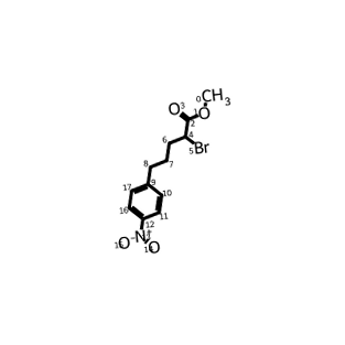 COC(=O)C(Br)CCCc1ccc([N+](=O)[O-])cc1